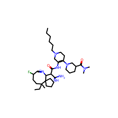 CCCCCCN1CCC(N2CCCC(C(=O)N(C)C)C2)=C(NC(=O)C(C(=N)N)C2/N=C\C(F)CCC(C)(CC)C23CCCC3)C1